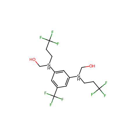 OC[SiH](CCC(F)(F)F)c1cc([SiH](CO)CCC(F)(F)F)cc(C(F)(F)F)c1